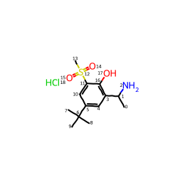 CC(N)c1cc(C(C)(C)C)cc(S(C)(=O)=O)c1O.Cl